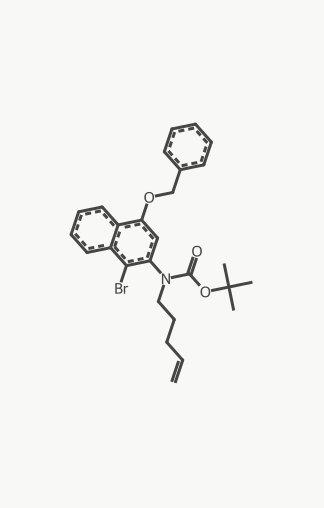 C=CCCCN(C(=O)OC(C)(C)C)c1cc(OCc2ccccc2)c2ccccc2c1Br